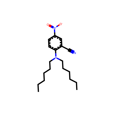 CCCCCCN(CCCCCC)c1ccc([N+](=O)[O-])cc1C#N